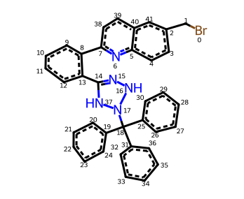 BrCc1ccc2nc(-c3ccccc3C3=NNN(C(c4ccccc4)(c4ccccc4)c4ccccc4)N3)ccc2c1